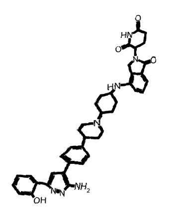 Nc1nnc(-c2ccccc2O)cc1-c1ccc(C2CCN(C3CCC(Nc4cccc5c4CN(C4CCC(=O)NC4=O)C5=O)CC3)CC2)cc1